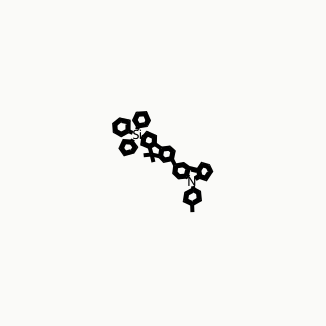 Cc1ccc(-n2c3ccccc3c3cc(-c4ccc5c(c4)C(C)(C)c4cc([Si](c6ccccc6)(c6ccccc6)c6ccccc6)ccc4-5)ccc32)cc1